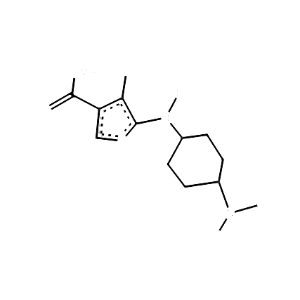 CCN(c1scc(C(=O)OC)c1C)C1CCC(N(C)C)CC1